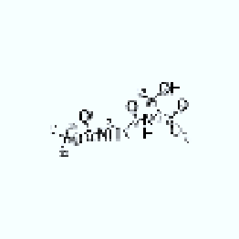 COC(=O)C(NC(=O)CCNC(=O)OC(C)(C)C)[C@@H](C)O